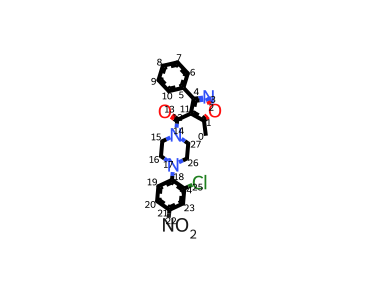 Cc1onc(-c2ccccc2)c1C(=O)N1CCN(c2ccc([N+](=O)[O-])cc2Cl)CC1